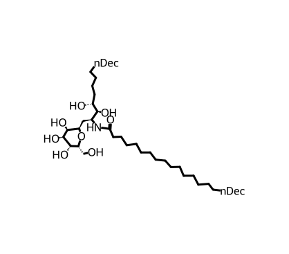 CCCCCCCCCCCCCCCCCCCCCCCCCC(=O)N[C@@H](C[C@H]1O[C@H](CO)[C@H](O)[C@H](O)[C@H]1O)[C@H](O)[C@H](O)CCCCCCCCCCCCCC